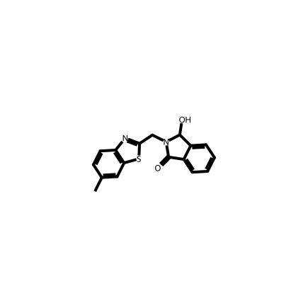 Cc1ccc2nc(CN3C(=O)c4ccccc4C3O)sc2c1